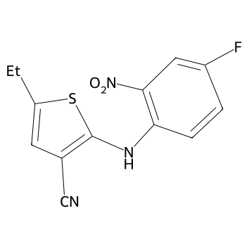 CCc1cc(C#N)c(Nc2ccc(F)cc2[N+](=O)[O-])s1